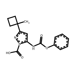 CC1(c2cc(NC(=O)Oc3ccccc3)n(C(=O)O)n2)CCC1